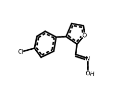 ON=Cc1occc1-c1ccc(Cl)cc1